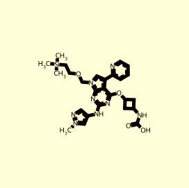 Cn1cc(Nc2nc(OC3CC(NC(=O)O)C3)c3c(-c4ccccn4)cn(COCC[Si](C)(C)C)c3n2)cn1